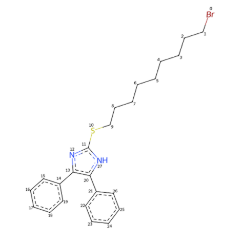 BrCCCCCCCCCSc1nc(-c2ccccc2)c(-c2ccccc2)[nH]1